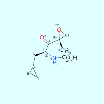 C[C@]1(C(=O)[C@H](CC2CC2)NC(=O)O)CO1